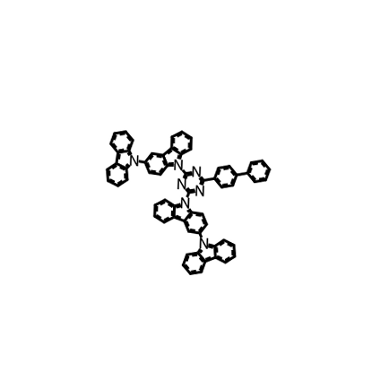 c1ccc(-c2ccc(-c3nc(-n4c5ccccc5c5cc(-n6c7ccccc7c7ccccc76)ccc54)nc(-n4c5ccccc5c5cc(-n6c7ccccc7c7ccccc76)ccc54)n3)cc2)cc1